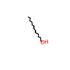 CCCCCC=CC=CCCCCO